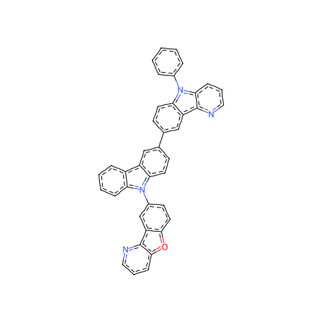 c1ccc(-n2c3ccc(-c4ccc5c(c4)c4ccccc4n5-c4ccc5oc6cccnc6c5c4)cc3c3ncccc32)cc1